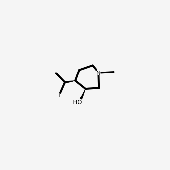 CC(I)[C@H]1CCN(C)C[C@H]1O